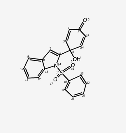 O=C1C=CC(O)(c2cc3ccccc3n2S(=O)(=O)c2ccccc2)C=C1